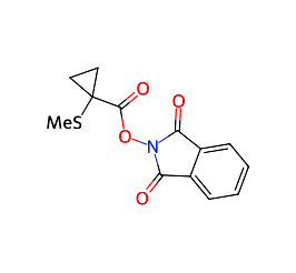 CSC1(C(=O)ON2C(=O)c3ccccc3C2=O)CC1